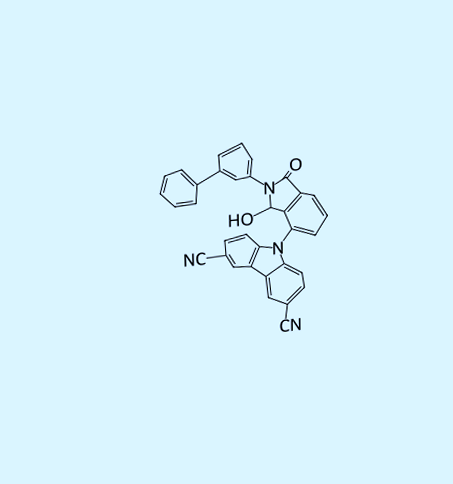 N#Cc1ccc2c(c1)c1cc(C#N)ccc1n2-c1cccc2c1C(O)N(c1cccc(-c3ccccc3)c1)C2=O